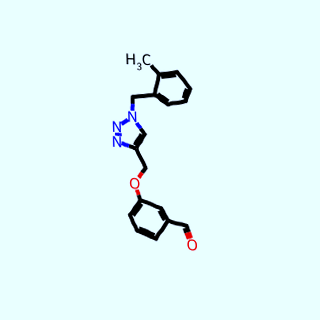 Cc1ccccc1Cn1cc(COc2cccc(C=O)c2)nn1